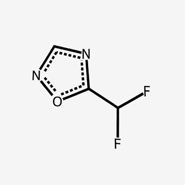 FC(F)c1ncno1